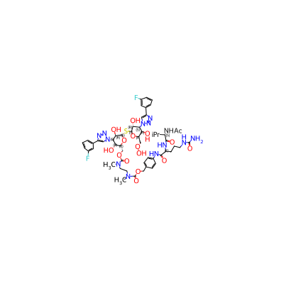 CC(=O)N[C@H](C(=O)N[C@@H](CCCNC(N)=O)C(=O)Nc1ccc(COC(=O)N(C)CCN(C)C(=O)OC[C@H]2O[C@@H](S[C@@H]3O[C@H](COO)[C@H](O)[C@H](n4cc(-c5cccc(F)c5)nn4)[C@H]3O)[C@H](O)[C@@H](n3cc(-c4cccc(F)c4)nn3)[C@H]2O)cc1)C(C)C